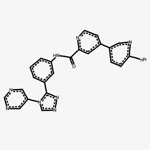 CCCc1ccc(-c2ccnc(C(=O)Nc3cccc(-c4nncn4-c4cncnc4)c3)c2)cn1